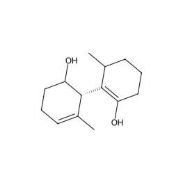 CC1=CCCC(O)[C@@H]1C1=C(O)CCCC1C